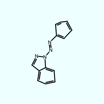 [c]1ccc(N=Nn2ncc3ccccc32)cc1